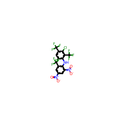 O=[N+]([O-])c1cc([N+](=O)[O-])c(Nc2c(Cl)cc(C(F)(F)F)c(Cl)c2C(F)(F)F)c(C(F)(F)F)c1